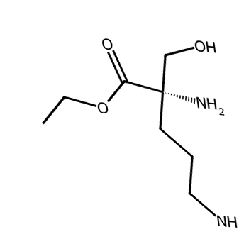 CCOC(=O)[C@@](N)(CO)CCCN